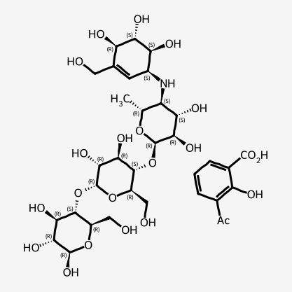 CC(=O)c1cccc(C(=O)O)c1O.C[C@H]1O[C@H](O[C@H]2[C@H](O)[C@@H](O)[C@@H](O[C@H]3[C@H](O)[C@@H](O)[C@H](O)O[C@@H]3CO)O[C@@H]2CO)[C@H](O)[C@@H](O)[C@@H]1N[C@H]1C=C(CO)[C@@H](O)[C@H](O)[C@H]1O